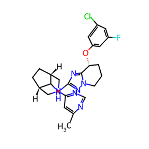 Cc1cc(N2C[C@H]3CC[C@@H](C2)C3Nc2nc3n(n2)CCC[C@H]3Oc2cc(F)cc(Cl)c2)ncn1